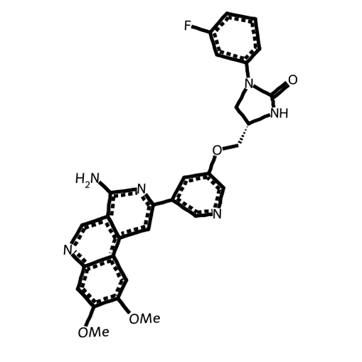 COc1cc2ncc3c(N)nc(-c4cncc(OC[C@@H]5CN(c6cccc(F)c6)C(=O)N5)c4)cc3c2cc1OC